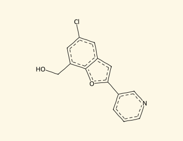 OCc1cc(Cl)cc2cc(-c3cccnc3)oc12